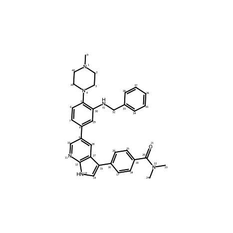 CN1CCN(c2ccc(-c3cnc4[nH]cc(-c5ccc(C(=O)N(C)C)cc5)c4c3)cc2NCc2ccccc2)CC1